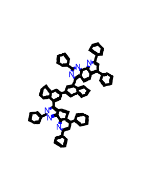 c1ccc(-c2cc(-c3ccccc3)c3ccc4c(-c5cc(-c6cc(-c7nc(-c8ccccc8)nc8c7ccc7c(-c9ccccc9)cc(-c9ccccc9)nc78)c7ccccc7c6)cc6ccccc56)nc(-c5ccccc5)nc4c3n2)cc1